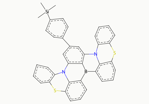 C[Si](C)(C)c1ccc(-c2cc3c4c(c2)N2c5ccccc5Sc5cccc(c52)B4c2cccc4c2N3c2ccccc2S4)cc1